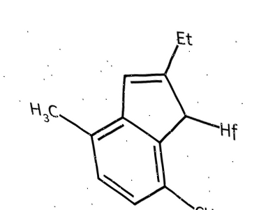 CCC1=Cc2c(C)ccc(C)c2[CH]1[Hf]